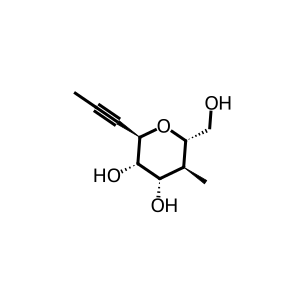 CC#C[C@H]1O[C@H](CO)[C@@H](C)[C@H](O)[C@@H]1O